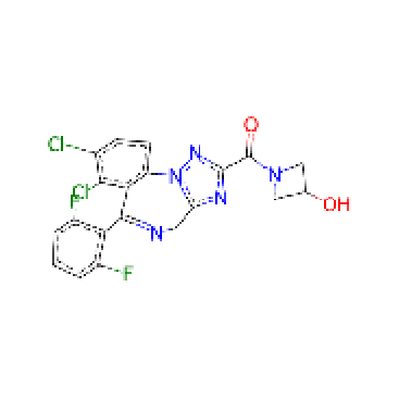 O=C(c1nc2n(n1)-c1ccc(Cl)c(Cl)c1C(c1c(F)cccc1F)=NC2)N1CC(O)C1